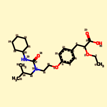 CCOC(Cc1ccc(OCCN(CC(C)C)C(=O)NC2CCCCC2)cc1)C(=O)O